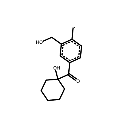 [CH2]c1ccc(C(=O)C2(O)CCCCC2)cc1CO